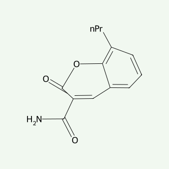 CCCc1cccc2cc(C(N)=O)c(=O)oc12